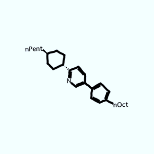 CCCCCCCCc1ccc(-c2ccc([C@H]3CC[C@H](CCCCC)CC3)nc2)cc1